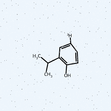 [3H]c1ccc(O)c(C(C)C)c1